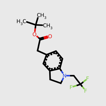 CC(C)(C)OC(=O)Cc1ccc2c(c1)CCN2CC(F)(F)F